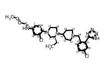 CC[C@H]1CN(c2ncc(NSOOC)cc2Cl)CCN1C1CCN(Cc2ccc(Cl)cc2-c2nnn[nH]2)CC1